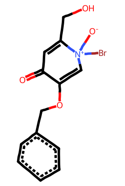 O=C1C=C(CO)[N+]([O-])(Br)C=C1OCc1ccccc1